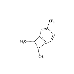 CC1c2ccc(C(F)(F)F)cc2C1C